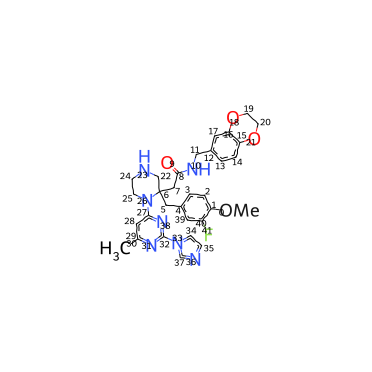 COc1ccc(CC2(CC(=O)NCc3ccc4c(c3)OCCO4)CNCCN2c2cc(C)nc(-n3ccnc3)n2)cc1F